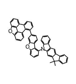 CC1(C)c2ccccc2-c2cc3c4ccccc4n(-c4cccc5oc6cc(-c7cccc8c9cccc%10oc%11cccc(c78)c%11c%109)ccc6c45)c3cc21